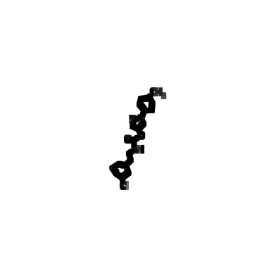 Cc1ccc(-n2cc(OC(=O)NCCc3cccc(Cl)c3)cn2)cc1